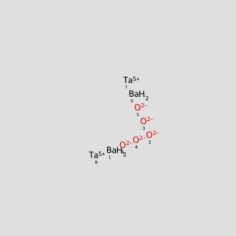 [BaH2].[BaH2].[O-2].[O-2].[O-2].[O-2].[O-2].[Ta+5].[Ta+5]